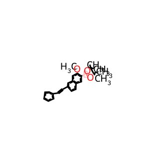 COc1cc2cc(C#Cc3ccccc3)ccc2cc1B1OC(C)(C)C(C)(C)O1